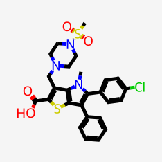 Cn1c(-c2ccc(Cl)cc2)c(-c2ccccc2)c2sc(C(=O)O)c(CN3CCN(S(C)(=O)=O)CC3)c21